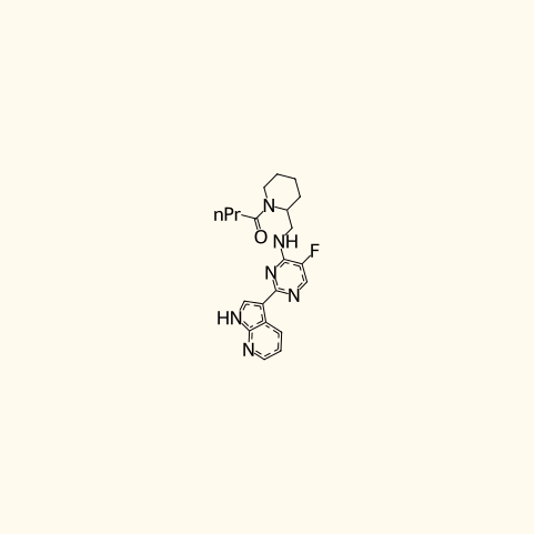 CCCC(=O)N1CCCCC1CNc1nc(-c2c[nH]c3ncccc23)ncc1F